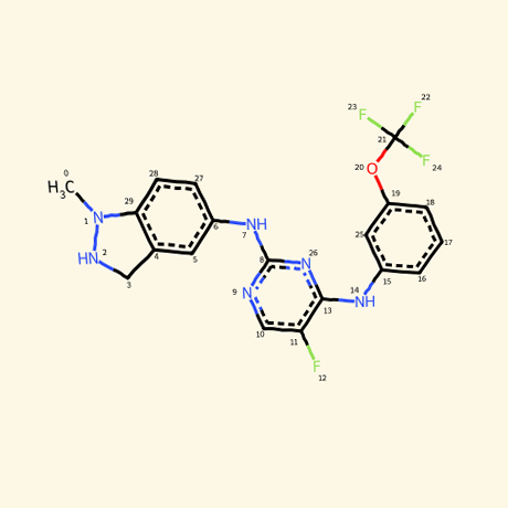 CN1NCc2cc(Nc3ncc(F)c(Nc4cccc(OC(F)(F)F)c4)n3)ccc21